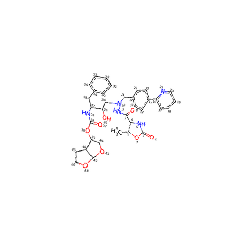 CC1OC(=O)NC1C(=O)NN(Cc1ccc(-c2ccccn2)cc1)CC(O)C(Cc1ccccc1)NC(=O)OC1COC2OCCC12